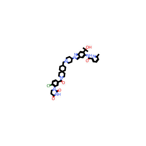 Cc1cccc(C(=O)Nc2cc3cn(C4CCN(CC5CCC6(CC5)CCN(C(=O)c5ccc(Cl)c(N7CCC(=O)NC7=O)c5)CC6)CC4)nc3cc2C(C)(C)O)n1